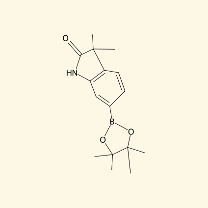 CC1(C)C(=O)Nc2cc(B3OC(C)(C)C(C)(C)O3)ccc21